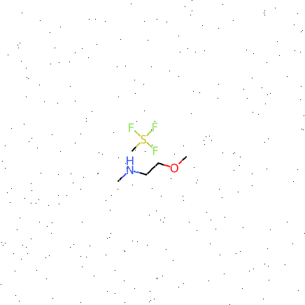 CNCCOC.CS(F)(F)F